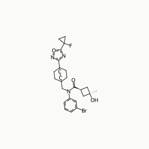 C[C@]1(O)C[C@@H](C(=O)N(CC23CCC(c4noc(C5(F)CC5)n4)(CC2)CC3)c2cccc(Br)c2)C1